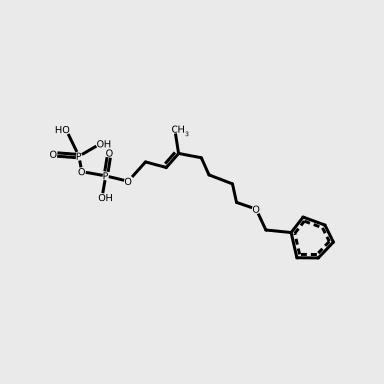 CC(=CCOP(=O)(O)OP(=O)(O)O)CCCCOCc1ccccc1